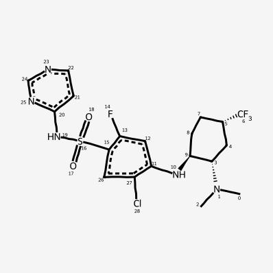 CN(C)[C@H]1C[C@@H](C(F)(F)F)CC[C@@H]1Nc1cc(F)c(S(=O)(=O)Nc2ccncn2)cc1Cl